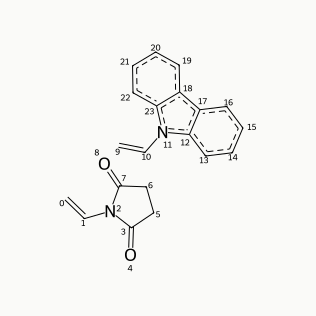 C=CN1C(=O)CCC1=O.C=Cn1c2ccccc2c2ccccc21